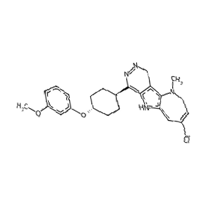 COc1cccc(O[C@H]2CC[C@H](C3=c4[nH]c5c(c4CN=N3)N(C)CC=C(Cl)C=5)CC2)c1